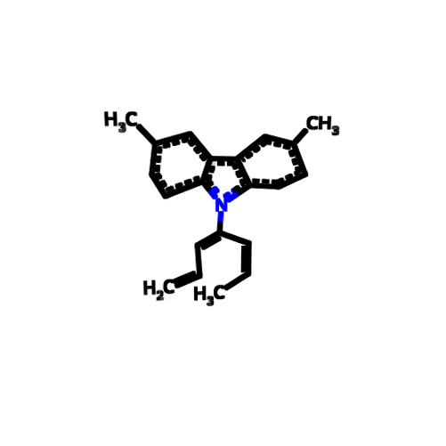 C=C/C=C(\C=C/C)n1c2ccc(C)cc2c2cc(C)ccc21